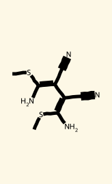 CSC(N)=C(C#N)C(C#N)=C(N)SC